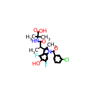 Cc1c([C@@H](C)C(=O)NC(C)(C)C(=O)O)c2c(F)c(O)c(F)cc2n1C(=O)c1cccc(Cl)c1